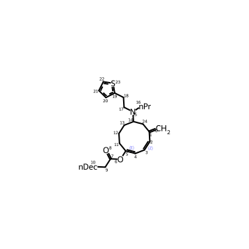 C=C1/C=C\C=C(\OC(=O)CCCCCCCCCCC)CCCC(N(CCC)CCc2cccs2)C1